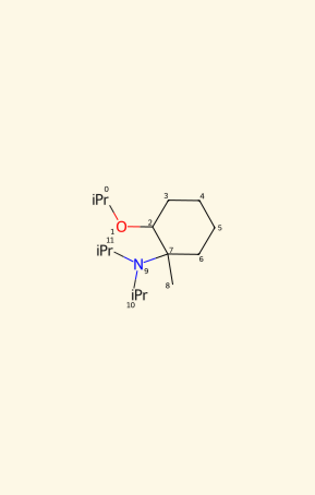 CC(C)OC1CCCCC1(C)N(C(C)C)C(C)C